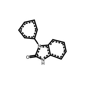 O=c1[nH]c2ccccc2n1-c1ccccc1